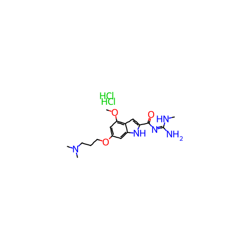 CNC(N)=NC(=O)c1cc2c(OC)cc(OCCCN(C)C)cc2[nH]1.Cl.Cl